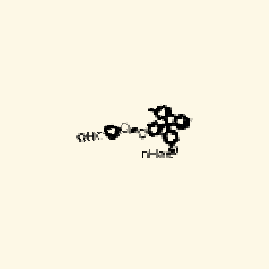 CCCCCCOc1ccc(C2(c3ccc(OCCOc4ccc(C=O)cc4)cc3)c3ccccc3-c3ccc(C)cc32)cc1